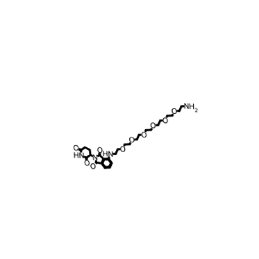 NCCOCCOCCOCCOCCOCCOCCNc1cccc2c1C(=O)N(C1CCC(=O)NC1=O)C2=O